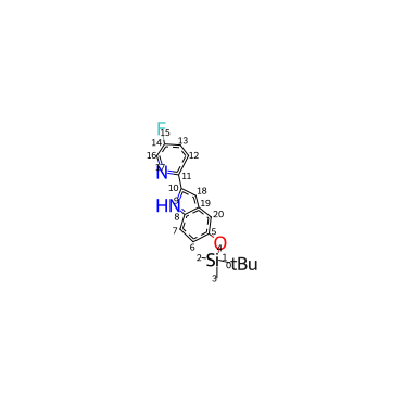 CC(C)(C)[Si](C)(C)Oc1ccc2[nH]c(-c3ccc(F)cn3)cc2c1